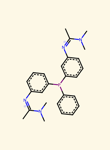 C/C(=N/c1cccc(P(c2ccccc2)c2cccc(/N=C(/C)N(C)C)c2)c1)N(C)C